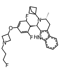 C[C@@H]1Cc2c([nH]c3ccccc23)[C@@H](C2C(F)=CC(OC3CN(CCCF)C3)=CC2F)N1C12CC(C1)C2